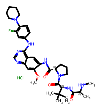 CN[C@@H](C)C(=O)N[C@H](C(=O)N1CCC[C@H]1C(=O)Nc1cc2c(Nc3ccc(N4CCCCC4)c(F)c3)ncnc2cc1OC)C(C)(C)C.Cl